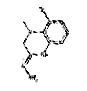 CN1C/C(=N/N)Nc2cccc(Br)c21